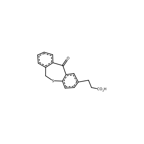 O=C(O)CCc1ccc2c(c1)C(=O)c1ccccc1CS2